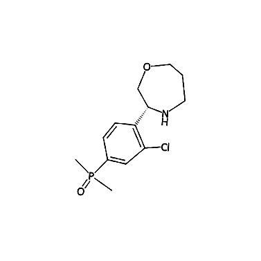 CP(C)(=O)c1ccc([C@@H]2COCCCN2)c(Cl)c1